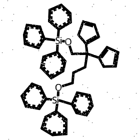 C1=CCC(C(CCCO[Si](c2ccccc2)(c2ccccc2)c2ccccc2)(CO[Si](c2ccccc2)(c2ccccc2)c2ccccc2)C2=CC=CC2)=C1